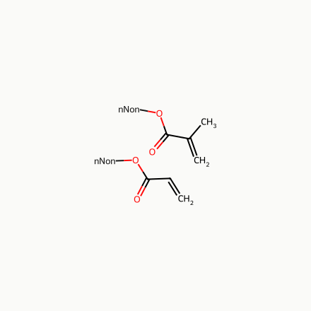 C=C(C)C(=O)OCCCCCCCCC.C=CC(=O)OCCCCCCCCC